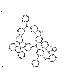 c1ccc(-c2cc(N(c3ccc4c(c3)-c3ccccc3C43c4ccccc4-c4ccccc43)c3ccc4oc5ccc(C(c6ccccc6)c6ccccc6)cc5c4c3)cc3c2Sc2ccccc2C32c3ccccc3-c3ccccc32)cc1